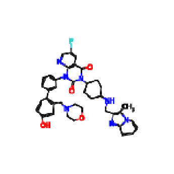 Cc1c(CNC2CCC(n3c(=O)c4cc(F)cnc4n(-c4cccc(-c5ccc(O)cc5CN5CCOCC5)c4)c3=O)CC2)nc2ccccn12